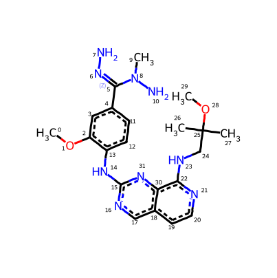 COc1cc(/C(=N/N)N(C)N)ccc1Nc1ncc2ccnc(NCC(C)(C)OC)c2n1